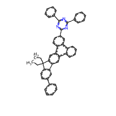 CCC1(CC)c2ccc(-c3ccccc3)cc2-c2cc3c4ccccc4c4cc(-c5nc(-c6ccccc6)nc(-c6ccccc6)n5)ccc4c3cc21